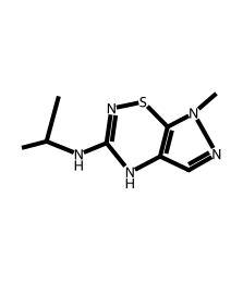 CC(C)NC1=NSc2c(cnn2C)N1